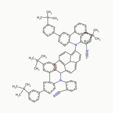 [C-]#[N+]c1ccccc1N(C1=C2C=CC3=C4C(=CC=C(C=C1)C24)C(N(c1ccccc1C#N)c1ccc(-c2cccc([Si](C)(C)C)c2)cc1-c1cccc([Si](C)(C)C)c1)C=C3)c1ccc(-c2cccc([Si](C)(C)C)c2)cc1-c1cccc([Si](C)(C)C)c1